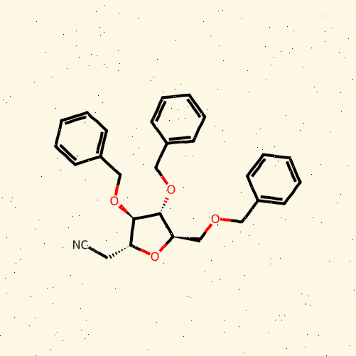 N#CC[C@H]1O[C@H](COCc2ccccc2)[C@@H](OCc2ccccc2)[C@@H]1OCc1ccccc1